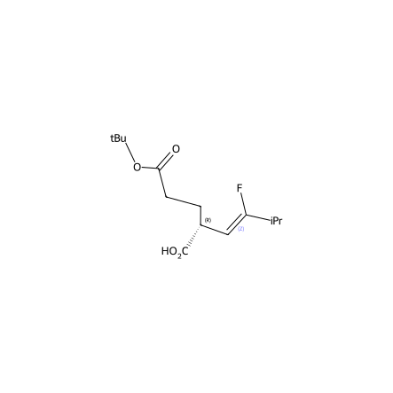 CC(C)/C(F)=C/[C@@H](CCC(=O)OC(C)(C)C)C(=O)O